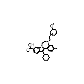 COC1CCCN(CCN2CCn3c(c(C4CCCCC4)c4ccc(C(=O)O)cc43)-c3ccc(C)cc32)C1